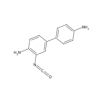 Nc1ccc(-c2ccc(N)c(N=C=O)c2)cc1